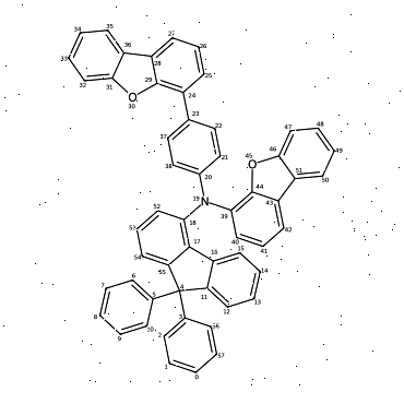 c1ccc(C2(c3ccccc3)c3ccccc3-c3c(N(c4ccc(-c5cccc6c5oc5ccccc56)cc4)c4cccc5c4oc4ccccc45)cccc32)cc1